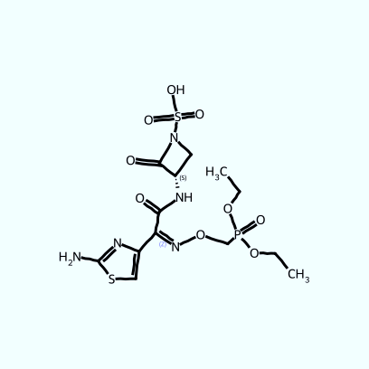 CCOP(=O)(CO/N=C(\C(=O)N[C@H]1CN(S(=O)(=O)O)C1=O)c1csc(N)n1)OCC